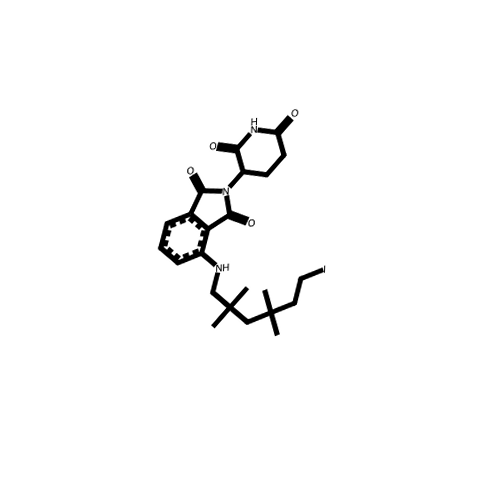 CC(C)(CCI)CC(C)(C)CNc1cccc2c1C(=O)N(C1CCC(=O)NC1=O)C2=O